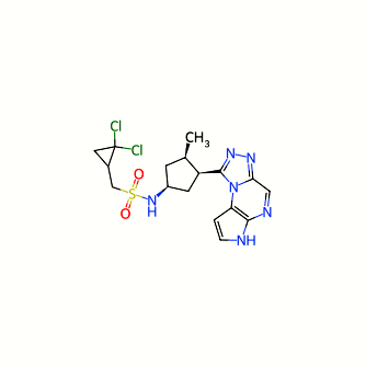 C[C@@H]1C[C@H](NS(=O)(=O)CC2CC2(Cl)Cl)C[C@@H]1c1nnc2cnc3[nH]ccc3n12